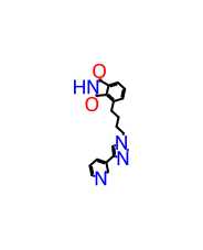 O=C1NC(=O)c2c(CCCCn3cnc(-c4cccnc4)c3)cccc21